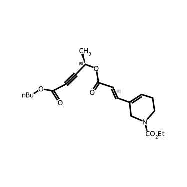 CCCCOC(=O)C#C[C@@H](C)OC(=O)/C=C/C1=CCCN(C(=O)OCC)C1